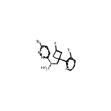 O=C(O)N(CC1(c2ncccc2F)CC(F)C1)c1ccc(Br)nn1